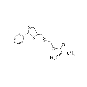 C=C(C)C(=O)OCSCC1CSC(c2ccccc2)S1